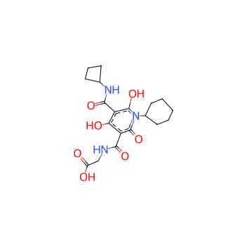 O=C(O)CNC(=O)c1c(O)c(C(=O)NC2CCC2)c(O)n(C2CCCCC2)c1=O